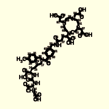 CC(=O)[C@@H](CCC(=O)O)NC(=O)N[C@H](CCCCN(Cc1ccc(C)cc1)C(=O)c1ccc(CNC(=O)CCC(C(=O)O)N2CCN(CC(=O)O)CCN(CC(=O)O)CCN(CC(=O)O)CC2)cc1)C(=O)O